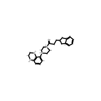 O=C(CCC1Cc2ccccc2C1)N1CCN(c2cccc3c2OCCO3)CC1